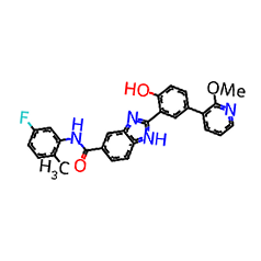 COc1ncccc1-c1ccc(O)c(-c2nc3cc(C(=O)Nc4cc(F)ccc4C)ccc3[nH]2)c1